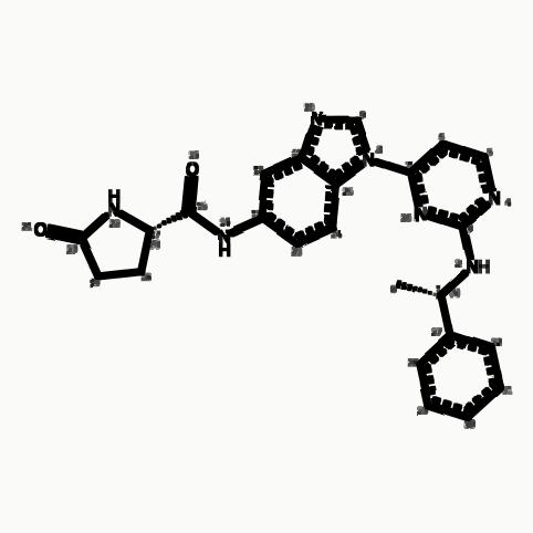 C[C@H](Nc1nccc(-n2cnc3cc(NC(=O)[C@@H]4CCC(=O)N4)ccc32)n1)c1ccccc1